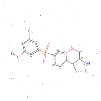 CCOc1cc(F)cc(S(=O)(=O)c2ccc3c(c2)OCC2NCCC32)c1